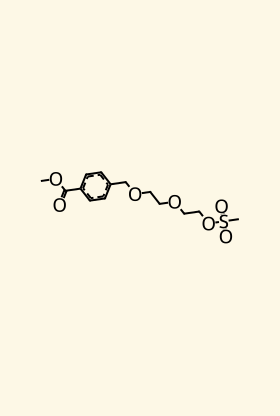 COC(=O)c1ccc(COCCOCCOS(C)(=O)=O)cc1